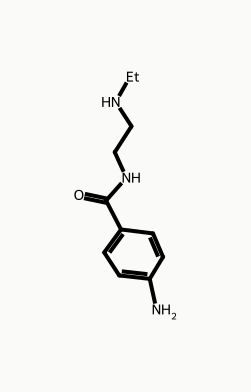 CCNCCNC(=O)c1ccc(N)cc1